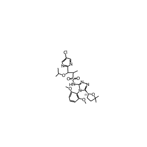 COc1cccc(OC)c1-n1c(NS(=O)(=O)C(C)C(OC(C)C)c2ncc(Cl)cn2)nnc1[C@@H]1CCC(C)(C)O1